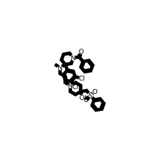 CN(CCCN1CCC(O)(CS(=O)(=O)c2ccccc2)CC1)C1(c2ccc(Cl)c(Cl)c2)CCCN(C(=O)c2ccccc2)C1